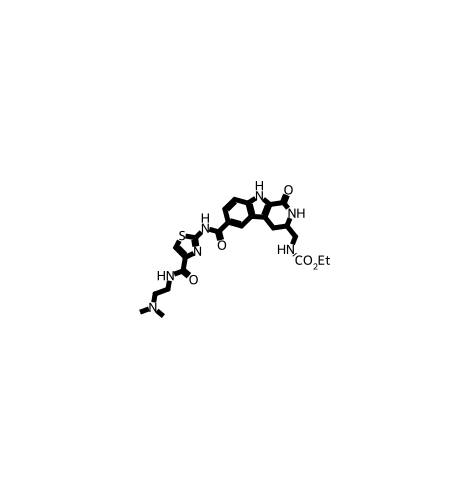 CCOC(=O)NCC1Cc2c([nH]c3ccc(C(=O)Nc4nc(C(=O)NCCN(C)C)cs4)cc23)C(=O)N1